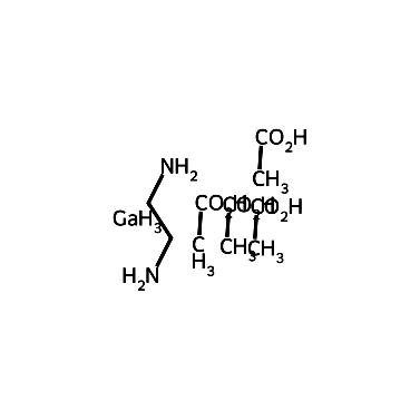 CC(=O)O.CC(=O)O.CC(=O)O.CC(=O)O.NCCN.[GaH3]